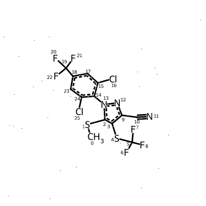 CSc1c(SC(F)(F)F)c(C#N)nn1-c1c(Cl)cc(C(F)(F)F)cc1Cl